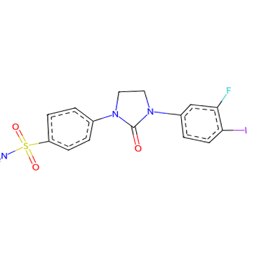 NS(=O)(=O)c1ccc(N2CCN(c3ccc(I)c(F)c3)C2=O)cc1